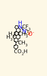 CC1C(C2=CCC(C(=O)O)CC2)=CC[C@@]2(C)C1CC[C@]1(C)C2CCC2C3CCCC3(NC(CN3CC[S+]([O-])CC3)C(F)(F)F)CC[C@]21C